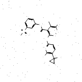 Cc1c(C(F)(F)F)nnc(Oc2ccc(C3(O)CC3)c(F)n2)c1C(=O)Nc1cccc(S(C)(=N)=O)c1